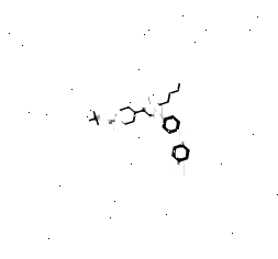 CCCCC(=O)N(CC(=O)C1CCN(C(=O)OC(C)(C)C)CC1)c1ccc(Oc2ccc(Cl)cc2)cc1